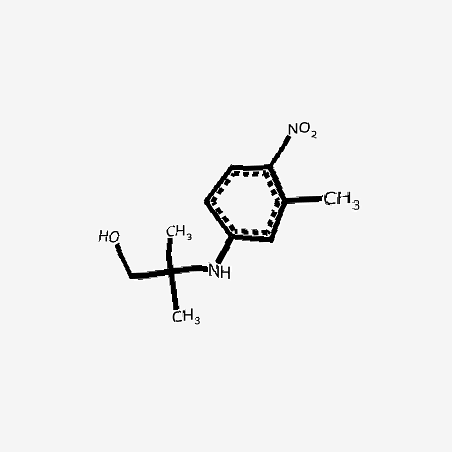 Cc1cc(NC(C)(C)CO)ccc1[N+](=O)[O-]